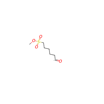 COS(=O)(=O)CCCCC[C]=O